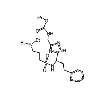 CCN(CC)CCCS(=O)(=O)N[C@H](CCc1ccccc1)c1nc(CNC(=O)OC(C)C)n[nH]1